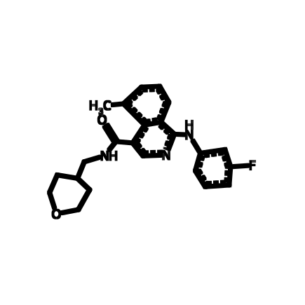 Cc1cccc2c(Nc3cccc(F)c3)ncc(C(=O)NCC3CCOCC3)c12